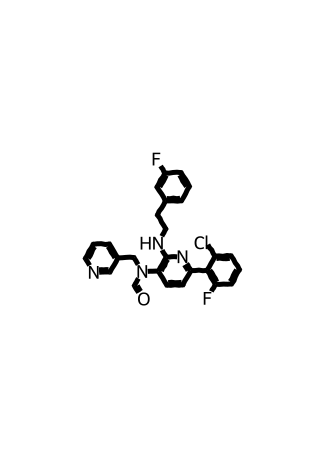 O=CN(Cc1cccnc1)c1ccc(-c2c(F)cccc2Cl)nc1NCCc1cccc(F)c1